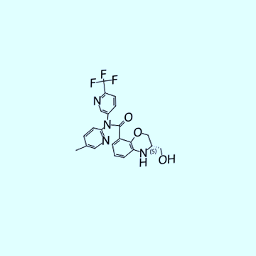 Cc1ccc(N(C(=O)c2cccc3c2OC[C@H](CO)N3)c2ccc(C(F)(F)F)nc2)nc1